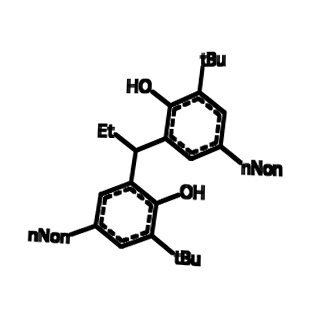 CCCCCCCCCc1cc(C(CC)c2cc(CCCCCCCCC)cc(C(C)(C)C)c2O)c(O)c(C(C)(C)C)c1